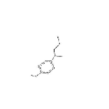 CCCC(C)c1ccc(OC)nc1